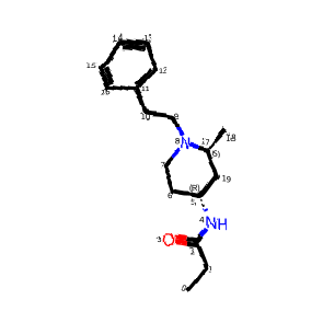 CCC(=O)N[C@@H]1CCN(CCc2ccccc2)[C@@H](C)C1